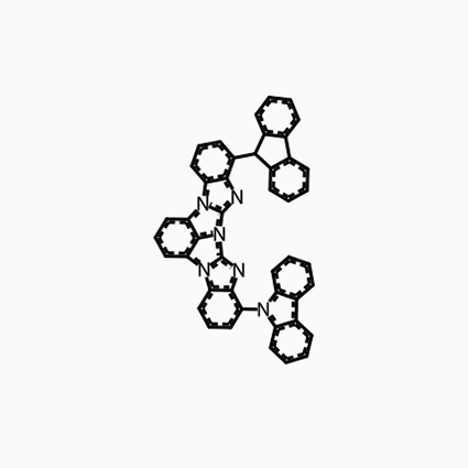 c1ccc2c(c1)-c1ccccc1C2c1cccc2c1nc1n2c2cccc3c2n1c1nc2c(-n4c5ccccc5c5ccccc54)cccc2n31